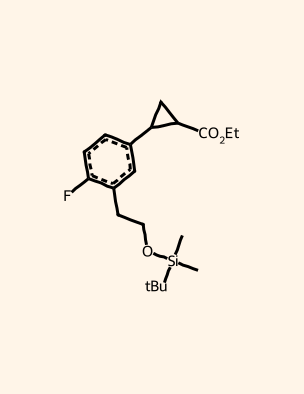 CCOC(=O)C1CC1c1ccc(F)c(CCO[Si](C)(C)C(C)(C)C)c1